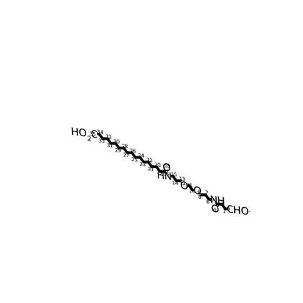 O=[C]CCC(=O)NCCCOCCOCCCNC(=O)CCCCCCCCCCCCCCCCC(=O)O